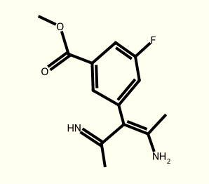 COC(=O)c1cc(F)cc(/C(C(C)=N)=C(\C)N)c1